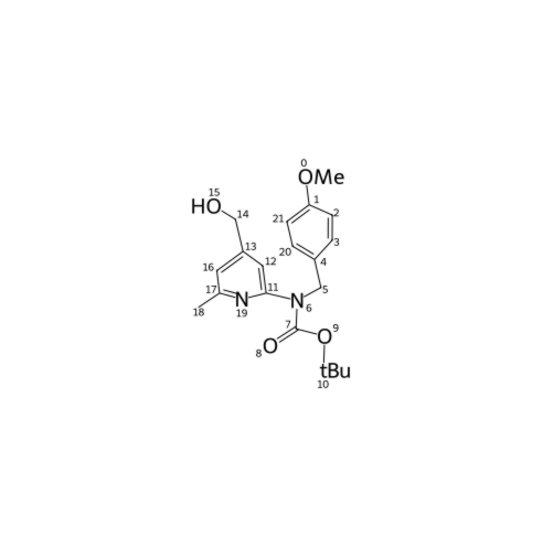 COc1ccc(CN(C(=O)OC(C)(C)C)c2cc(CO)cc(C)n2)cc1